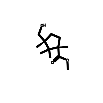 COC(=O)[C@@]1(C)CC[C@@](C)(CO)C1(C)C